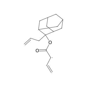 C=C[CH]C(=O)OC1(CC=C)C2CC3CC(C2)CC1C3